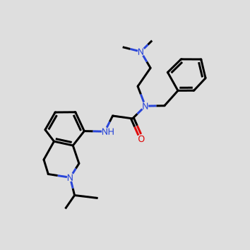 CC(C)N1CCc2cccc(NCC(=O)N(CCN(C)C)Cc3ccccc3)c2C1